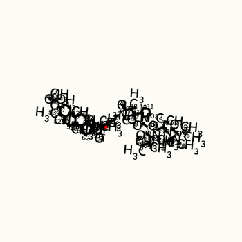 CC[C@H](C)[C@@H]([C@@H](CC(=O)N1CCCC1[C@H](OC)[C@@H](C)C(=O)NCCCCN1C(=O)[C@]23CCC(C)(C)C1C2[C@H]1CCC2[C@@]4(C)CC[C@H](OP(=O)(O)O)C(C)(C)C4CC[C@@]2(C)[C@]1(C)CC3)OC)N(C)C(=O)[C@@H](NC(=O)[C@H](C(C)C)N(C)C)C(C)C